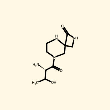 CC(O)[C@H](N)C(=O)N1CCNC2(CNC2=O)C1